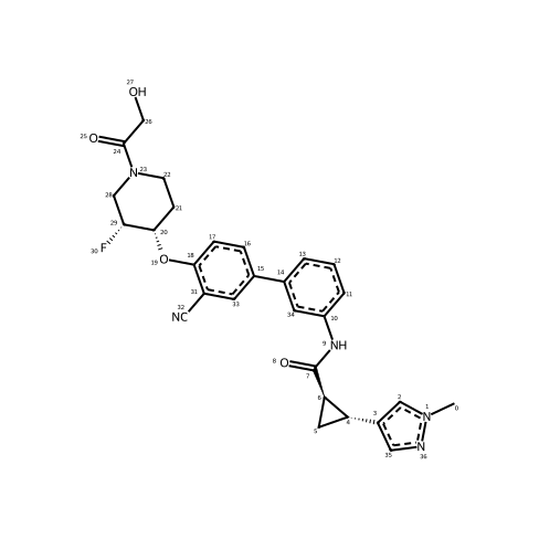 Cn1cc([C@@H]2C[C@H]2C(=O)Nc2cccc(-c3ccc(O[C@H]4CCN(C(=O)CO)C[C@H]4F)c(C#N)c3)c2)cn1